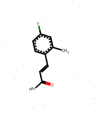 CCCC(=O)/C=C/c1ccc(F)cc1C